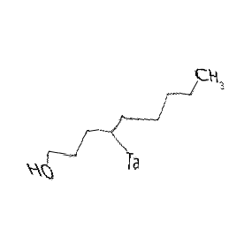 CCCCC[CH]([Ta])CCCO